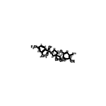 Cc1nc(C(F)(F)F)ccc1S(=O)(=O)N1C[C@H](Oc2ccc(C#N)c(F)c2)[C@](O)(CO)C1